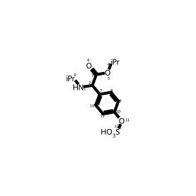 CC(C)NC(C(=O)OC(C)C)c1ccc(OS(=O)(=O)O)cc1